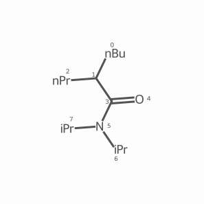 CCCCC(CCC)C(=O)N(C(C)C)C(C)C